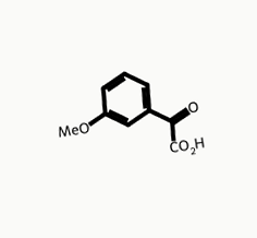 COc1cccc(C(=O)C(=O)O)c1